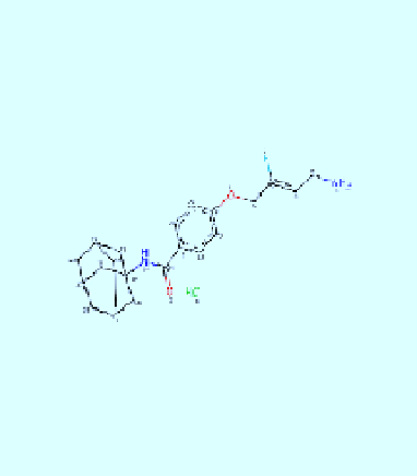 Cl.NC/C=C(\F)COc1ccc(C(=O)NC23CC4CC(CC(C4)C2)C3)cc1